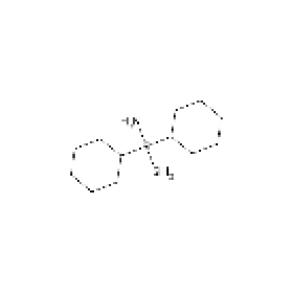 N[Si]([SiH3])(C1CCCCC1)C1CCCCC1